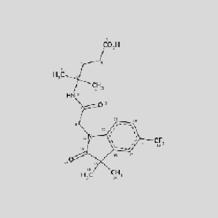 CC(C)(CCC(=O)O)NC(=O)CN1C(=O)C(C)(C)c2cc(C(F)(F)F)ccc21